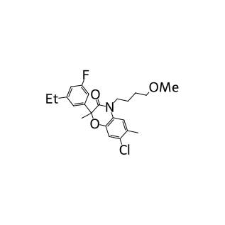 CCc1cc(F)cc(C2(C)Oc3cc(Cl)c(C)cc3N(CCCCOC)C2=O)c1